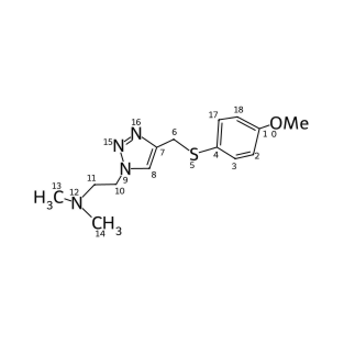 COc1ccc(SCc2cn(CCN(C)C)nn2)cc1